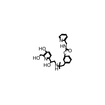 CC(C)(Cc1cccc(CC(=O)NCc2ccccn2)c1)NCC(O)c1ccc(O)c(CO)n1